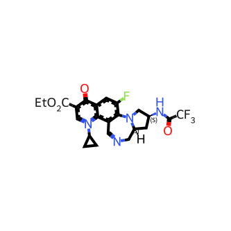 CCOC(=O)c1cn(C2CC2)c2c3c(c(F)cc2c1=O)N1C[C@@H](NC(=O)C(F)(F)F)C[C@H]1CN=C3